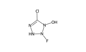 ON1C(Cl)=NNN1F